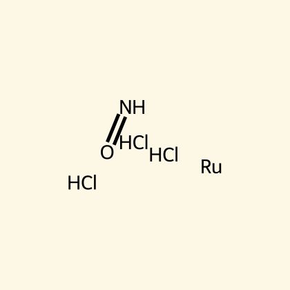 Cl.Cl.Cl.N=O.[Ru]